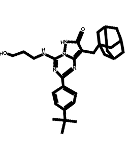 CC(C)(C)c1ccc(-c2nc(NCCCO)n3[nH]c(=O)c(CC45CC6CC(CC(C6)C4)C5)c3n2)cc1